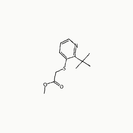 COC(=O)CSc1cccnc1C(C)(C)C